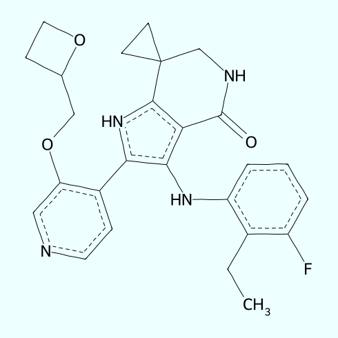 CCc1c(F)cccc1Nc1c(-c2ccncc2OCC2CCO2)[nH]c2c1C(=O)NCC21CC1